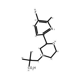 Cc1nc(C2CN(CC(C)(C)C(=O)O)CCO2)ccc1F